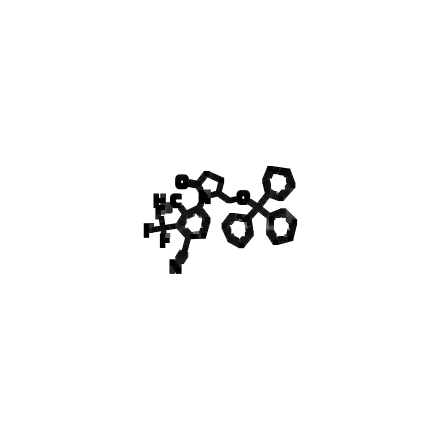 Cc1c(N2C(=O)CCC2COC(c2ccccc2)(c2ccccc2)c2ccccc2)ccc(C#N)c1C(F)(F)F